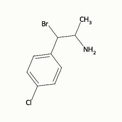 CC(N)C(Br)c1ccc(Cl)cc1